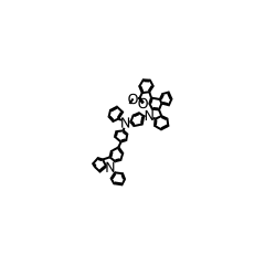 COC(=O)c1ccccc1-c1cc2c(c3ccccc13)c1ccccc1n2-c1ccc(N(c2ccccc2)c2ccc(-c3ccc4c(c3)c3ccccc3n4-c3ccccc3)cc2)cc1